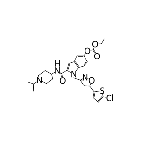 CCOC(=O)Oc1ccc2c(c1)cc(C(=O)NC1CCN(C(C)C)CC1)n2Cc1cc(-c2ccc(Cl)s2)on1